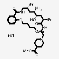 COCCCCOc1ccccc1C(=O)NC[C@@H](C[C@H](N)[C@@H](O)C[C@H](C(=O)NCCN1CCC(C(=O)OC)CC1)C(C)C)C(C)C.Cl